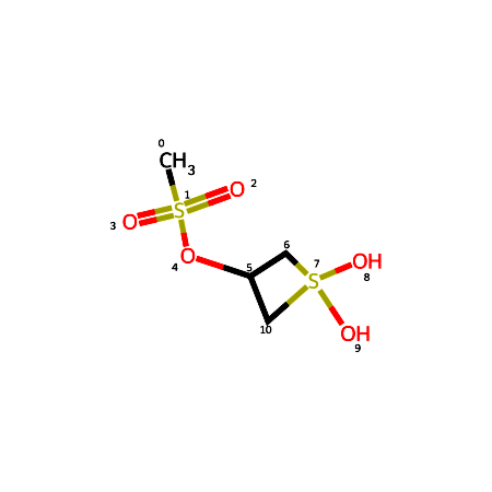 CS(=O)(=O)OC1CS(O)(O)C1